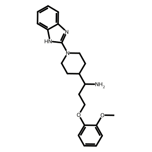 COc1ccccc1OCCC(N)C1CCN(c2nc3ccccc3[nH]2)CC1